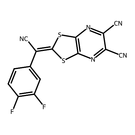 N#CC(=C1Sc2nc(C#N)c(C#N)nc2S1)c1ccc(F)c(F)c1